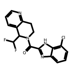 O=C(c1nc2cccc(Cl)c2[nH]1)N1CCc2ncccc2C1C(F)F